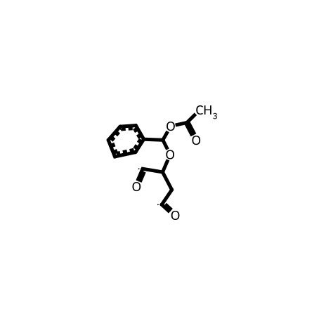 CC(=O)OC(OC([C]=O)C[C]=O)c1ccccc1